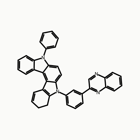 C1=Cc2c(n(-c3cccc(-c4cnc5ccccc5n4)c3)c3ccc4c(c5ccccc5n4-c4ccccc4)c23)CC1